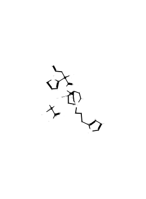 C=CCC(O)(C(=O)O[C@H]1C[N+]2(CCCc3cccs3)CCC1CC2)c1cccs1.O=C([O-])C(F)(F)F